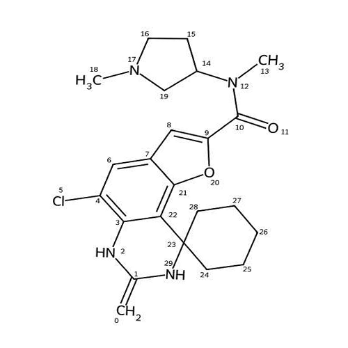 C=C1Nc2c(Cl)cc3cc(C(=O)N(C)C4CCN(C)C4)oc3c2C2(CCCCC2)N1